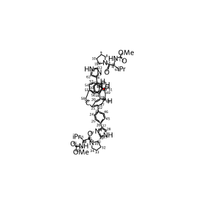 COC(=O)N[C@H](C(=O)N1CCC[C@H]1c1nc(-c2ccc(C3=CC4=C(c5ccc(-c6c[nH]c([C@@H]7CCCN7C(=O)[C@@H](NC(=O)OC)C(C)C)n6)cc5)C[C@@H]3C[C@@H](C)[C@@H]3C=CC(=CC3)CC4)cc2)c[nH]1)C(C)C